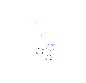 Cc1ccc(-c2nc(=O)n(C[C@H]3CC[C@@H](COCC(=O)O)CC3)nc2-c2cccnc2)cc1